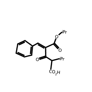 CC(C)OC(=O)C(=Cc1ccccc1)C(=O)C(C(=O)O)C(C)C